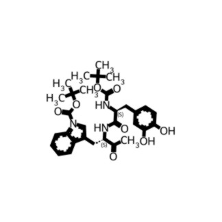 CC(=O)[C@H](Cc1cn(C(=O)OC(C)(C)C)c2ccccc12)NC(=O)[C@H](Cc1ccc(O)c(O)c1)NC(=O)OC(C)(C)C